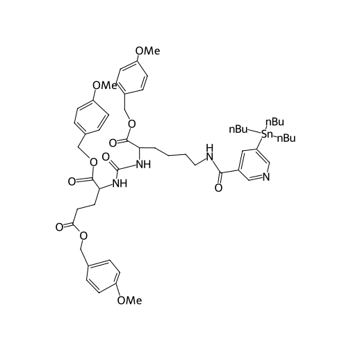 CCC[CH2][Sn]([CH2]CCC)([CH2]CCC)[c]1cncc(C(=O)NCCCCC(NC(=O)NC(CCC(=O)OCc2ccc(OC)cc2)C(=O)OCc2ccc(OC)cc2)C(=O)OCc2ccc(OC)cc2)c1